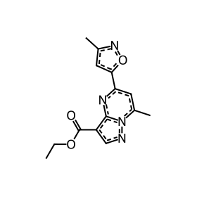 CCOC(=O)c1cnn2c(C)cc(-c3cc(C)no3)nc12